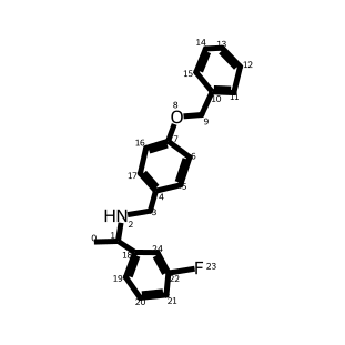 CC(NCc1ccc(OCc2ccccc2)cc1)c1cccc(F)c1